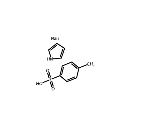 Cc1ccc(S(=O)(=O)O)cc1.[NaH].c1cc[nH]c1